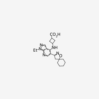 CCn1ncc2c(NC3CC(C(=O)O)C3)c(C3=NOC4(CCCCC4)C3)cnc21